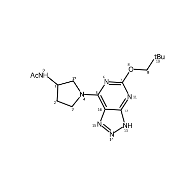 CC(=O)NC1CCN(c2nc(OCC(C)(C)C)nc3[nH]nnc23)C1